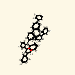 c1ccc(-c2ccc(-c3ccc(N(c4ccccc4)c4ccccc4-c4cccc5c4oc4ccccc45)cc3)c(-n3c4ccccc4c4ccccc43)c2)cc1